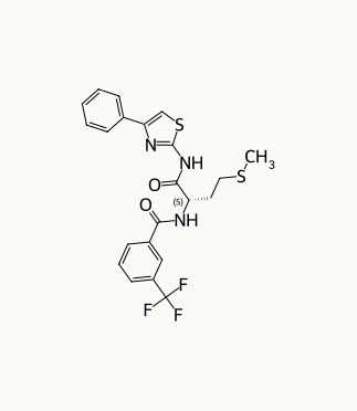 CSCC[C@H](NC(=O)c1cccc(C(F)(F)F)c1)C(=O)Nc1nc(-c2ccccc2)cs1